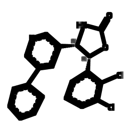 O=C1N[C@@H](c2cncc(-c3ccccc3)c2)[C@@H](c2cccc(Cl)c2Cl)O1